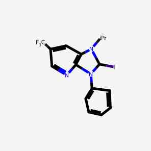 CC(C)N1c2cc(C(F)(F)F)cnc2N(c2ccccc2)C1I